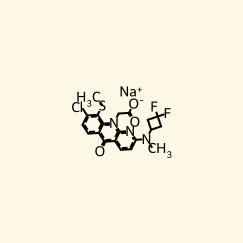 CSc1c(Cl)ccc2c(=O)c3ccc(N(C)C4CC(F)(F)C4)nc3n(CC(=O)[O-])c12.[Na+]